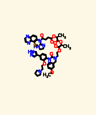 COc1cccc(CN(CCOC(=O)[C@H](C)OC(=O)[C@H](C)OC(=O)CCC(=O)N(C2=NCCN2)c2ccc3nccnc3c2Br)C(=O)Nc2ccc(-c3cn[nH]c3)cc2OCCN2CCCC2)c1